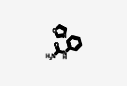 NC(=O)Nc1ccccc1.c1cocn1